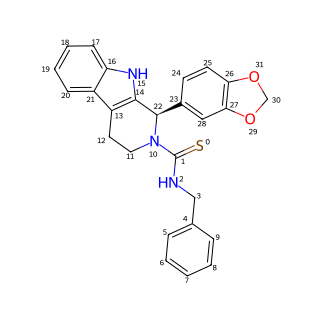 S=C(NCc1ccccc1)N1CCc2c([nH]c3ccccc23)[C@H]1c1ccc2c(c1)OCO2